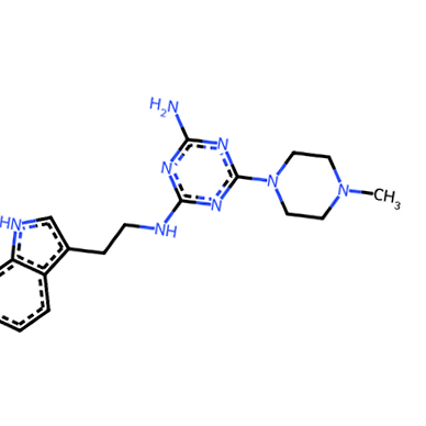 CN1CCN(c2nc(N)nc(NCCc3c[nH]c4ccccc34)n2)CC1